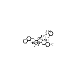 CC(=O)N[C@H](Cc1ccc2ccccc2c1)C(=O)N[C@H](Cc1ccc(Cl)cc1)C(=O)N[C@H](Cc1cccnc1)C(=O)O